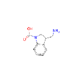 NCC1CN(C(=O)O)c2ccccc21